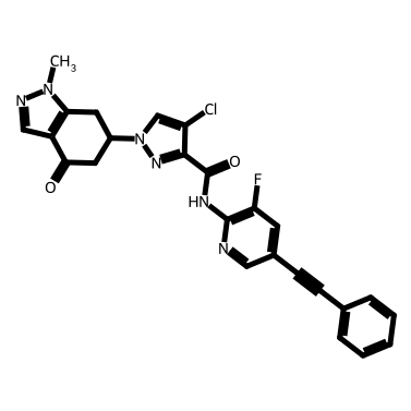 Cn1ncc2c1CC(n1cc(Cl)c(C(=O)Nc3ncc(C#Cc4ccccc4)cc3F)n1)CC2=O